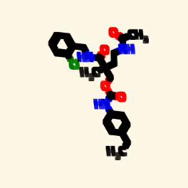 CCc1ccc(NC(=O)OCC(C)(CCNC(C)=O)C(=O)NCc2ccccc2Cl)cc1